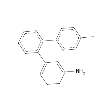 Cc1ccc(-c2ccccc2C2=CCCC(N)=C2)cc1